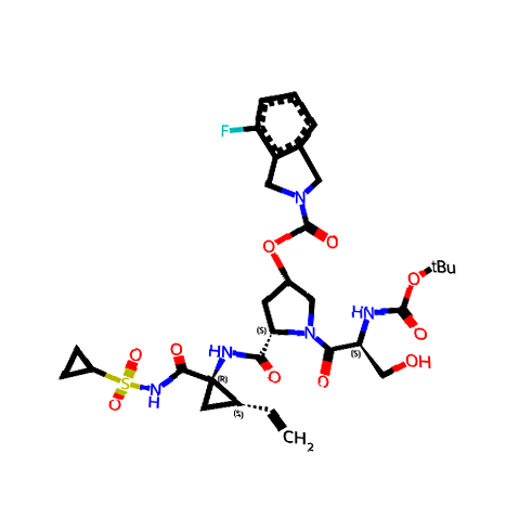 C=C[C@@H]1C[C@]1(NC(=O)[C@@H]1CC(OC(=O)N2Cc3cccc(F)c3C2)CN1C(=O)[C@H](CO)NC(=O)OC(C)(C)C)C(=O)NS(=O)(=O)C1CC1